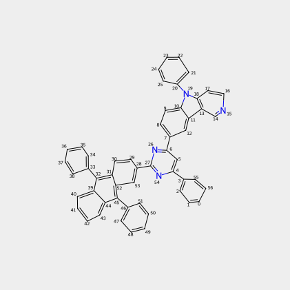 c1ccc(-c2cc(-c3ccc4c(c3)c3cnccc3n4-c3ccccc3)nc(-c3ccc4c(-c5ccccc5)c5ccccc5c(-c5ccccc5)c4c3)n2)cc1